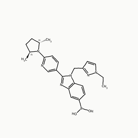 CCn1ccc(Cn2c(-c3ccc(N4[C@@H](C)CC[C@@H]4C)nc3)nc3cc(B(O)O)ccc32)n1